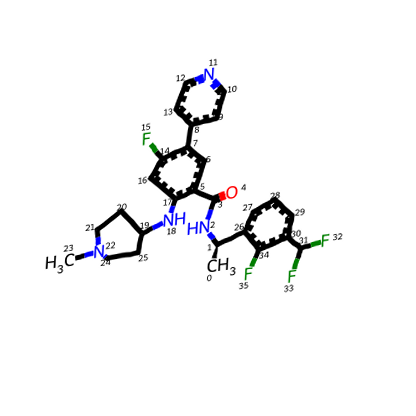 C[C@@H](NC(=O)c1cc(-c2ccncc2)c(F)cc1NC1CCN(C)CC1)c1cccc(C(F)F)c1F